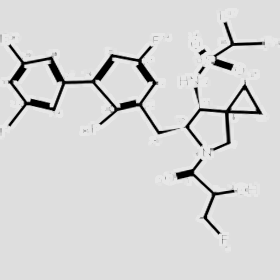 O=C(C(O)CF)N1CC2(CC2)[C@H](NS(=O)(=O)C(F)F)[C@@H]1Cc1cc(F)cc(-c2cc(F)cc(F)c2)c1F